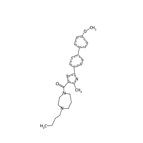 CCCCN1CCCN(C(=O)c2sc(-c3ccc(-c4ccc(OC)cc4)cc3)nc2C)CC1